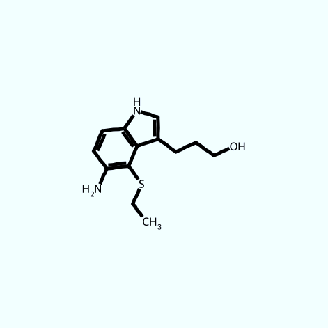 CCSc1c(N)ccc2[nH]cc(CCCO)c12